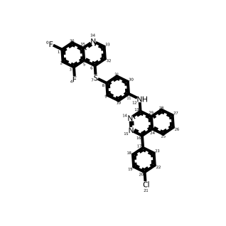 Fc1cc(F)c2c(Sc3ccc(Nc4nnc(-c5ccc(Cl)cc5)c5ccccc45)cc3)ccnc2c1